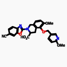 COc1ccc(COc2c(OC)ccc3c2CC(C(=O)O)N(c2nc4ccc(C#N)cc4o2)C3)cn1